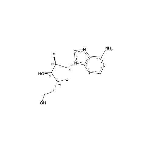 Nc1ncnc2c1ncn2[C@@H]1O[C@H](CCO)[C@@H](O)[C@H]1F